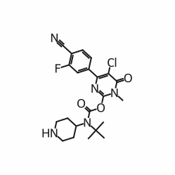 Cn1c(OC(=O)N(C2CCNCC2)C(C)(C)C)nc(-c2ccc(C#N)c(F)c2)c(Cl)c1=O